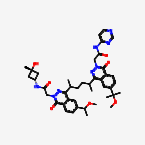 COC(C)c1ccc2c(=O)n(CC(=O)N[C@H]3C[C@@](C)(O)C3)nc(C(C)CCC(C)c3nn(CC(=O)Nc4ccncn4)c(=O)c4ccc(C(C)(C)OC)cc34)c2c1